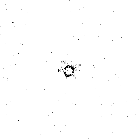 Cl.[Ni].c1c[nH]cn1